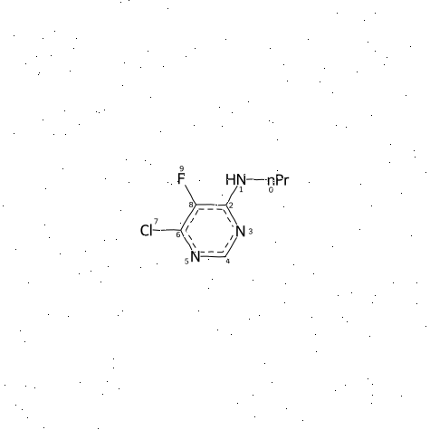 CCCNc1ncnc(Cl)c1F